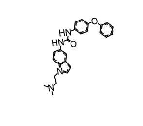 CN(C)CCn1ccc2cc(NC(=O)Nc3ccc(Oc4ccccc4)cc3)ccc21